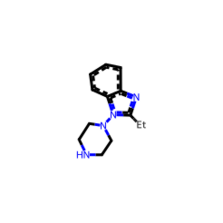 CCc1nc2ccccc2n1N1CCNCC1